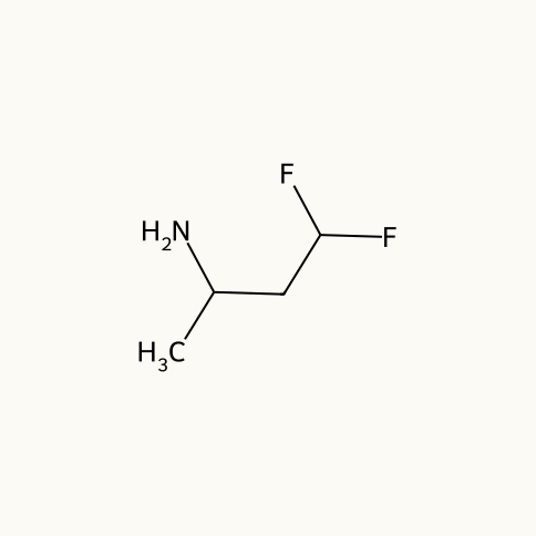 CC(N)CC(F)F